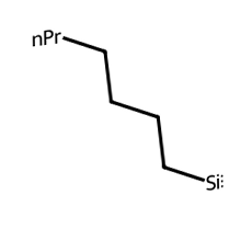 CCCCCCC[Si]